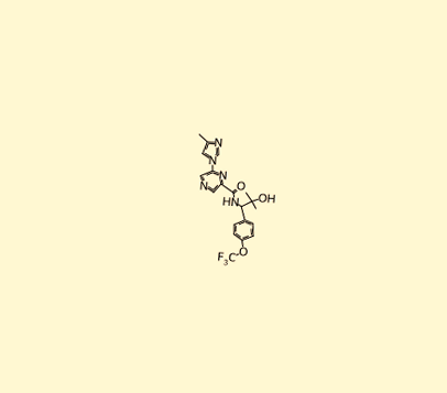 Cc1cn(-c2cncc(C(=O)NC(c3ccc(OC(F)(F)F)cc3)C(C)(C)O)n2)cn1